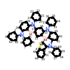 c1ccc(N2c3ccccc3B3c4cc5c(cc4N(c4ccccc4)c4cccc2c43)N(c2ccccc2)c2cccc3c2B5c2sc4ccccc4c2N3c2ccccc2)cc1